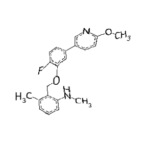 CNc1cccc(C)c1COc1cc(-c2ccc(OC)nc2)ccc1F